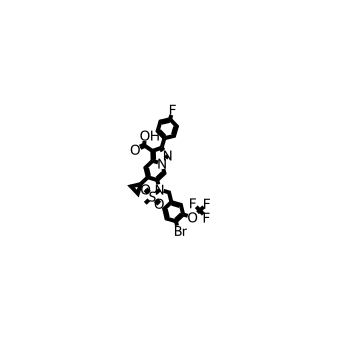 CS(=O)(=O)N(Cc1ccc(Br)c(OC(F)(F)F)c1)c1cn2nc(-c3ccc(F)cc3)c(C(=O)O)c2cc1C1CC1